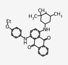 CCOc1ccc(Nc2ccc(NC3CC(C)CC(C)(C)C3)c3c2C(=O)c2ccccc2C3=O)cc1